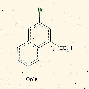 COc1ccc2cc(Br)cc(C(=O)O)c2c1